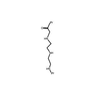 CC(C)NCCNCCNCC(=O)C(C)C